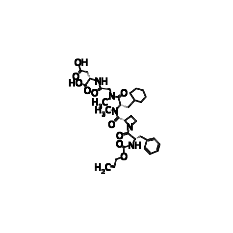 C=CCOC(=O)N[C@@H](Cc1ccccc1)C(=O)N1CC[C@H]1C(=O)N(C)[C@@H](CC1CCCCC1)C(=O)N(C)CC(=O)N[C@@H](CC(=O)O)C(=O)O